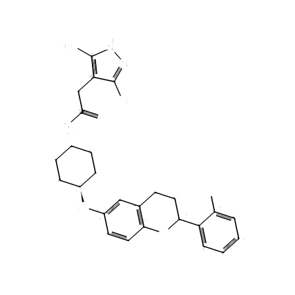 Cc1n[nH]c(C)c1CC(=O)N[C@H]1CC[C@H](Oc2ccc3c(c2)CCC(c2ccccc2F)O3)CC1